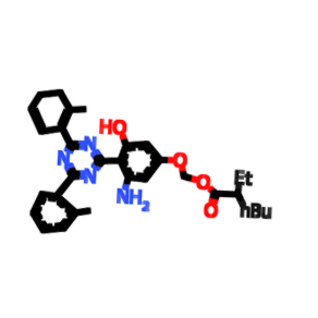 CCCCC(CC)C(=O)OCOc1cc(N)c(-c2nc(C3=C(C)CCC=C3)nc(-c3ccccc3C)n2)c(O)c1